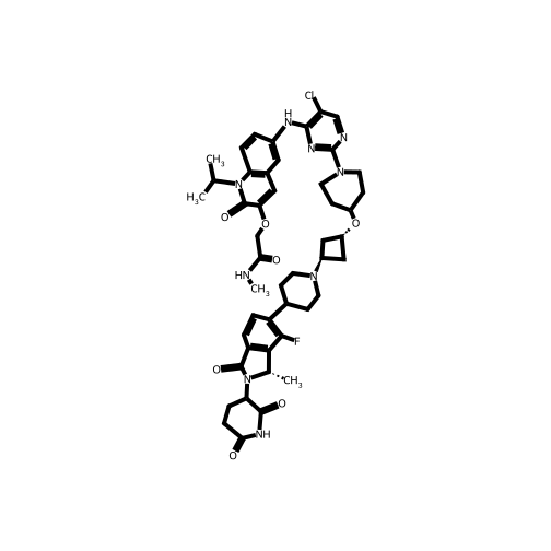 CNC(=O)COc1cc2cc(Nc3nc(N4CCC(O[C@H]5C[C@H](N6CCC(c7ccc8c(c7F)[C@H](C)N(C7CCC(=O)NC7=O)C8=O)CC6)C5)CC4)ncc3Cl)ccc2n(C(C)C)c1=O